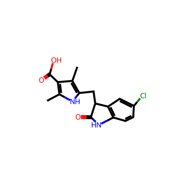 Cc1[nH]c(CC2C(=O)Nc3ccc(Cl)cc32)c(C)c1C(=O)O